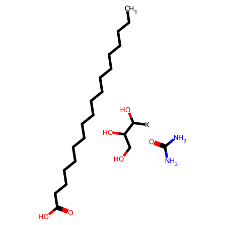 CCCCCCCCCCCCCCCCCC(=O)O.NC(N)=O.OCC(O)[CH](O)[K]